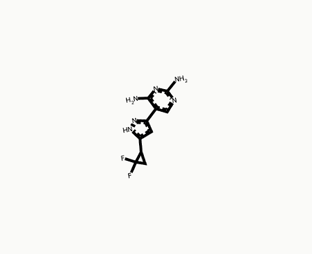 Nc1ncc(-c2cc(C3CC3(F)F)[nH]n2)c(N)n1